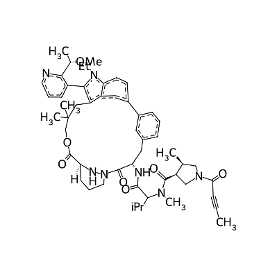 CC#CC(=O)N1C[C@H](C)[C@H](C(=O)N(C)C(C(=O)N[C@H]2Cc3cccc(c3)-c3ccc4c(c3)c(c(-c3cccnc3[C@H](C)OC)n4CC)CC(C)(C)COC(=O)[C@@H]3CCCN(N3)C2=O)C(C)C)C1